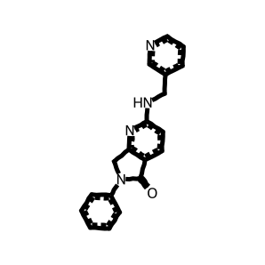 O=C1c2ccc(NCc3cccnc3)nc2CN1c1ccccc1